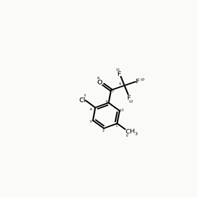 Cc1ccc(Cl)c(C(=O)C(F)(F)F)c1